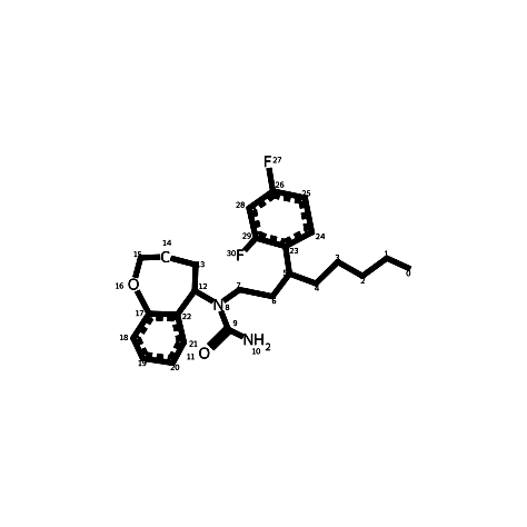 CCCCCC(CCN(C(N)=O)C1CCCOc2ccccc21)c1ccc(F)cc1F